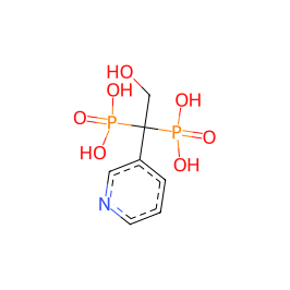 O=P(O)(O)C(CO)(c1cccnc1)P(=O)(O)O